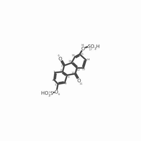 O=C1c2ccc(OS(=O)(=O)O)cc2C(=O)c2ccc(OS(=O)(=O)O)cc21